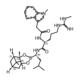 CNC(=N)NCCC[C@H](NC(=O)Cc1cn(C)c2ccccc12)C(=O)N[C@@H](CC(C)C)B1O[C@@H]2C[C@@H]3C[C@@H](C3(C)C)[C@]2(C)O1